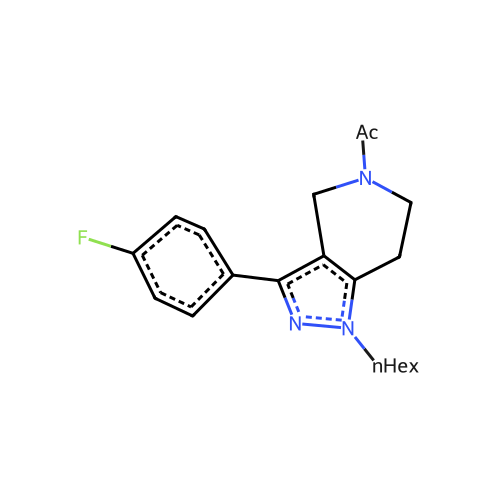 CCCCCCn1nc(-c2ccc(F)cc2)c2c1CCN(C(C)=O)C2